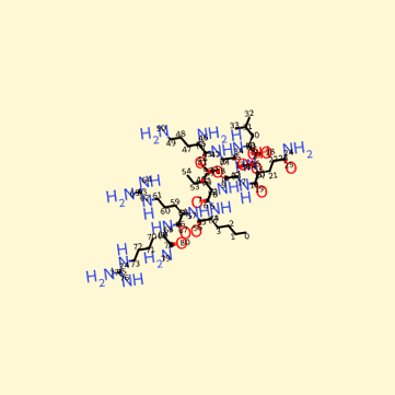 CCCC[C@H](NC(=O)[C@@H](NC(=O)[C@H](CC(=O)O)NC(=O)[C@H](CCC(N)=O)NC(=O)[C@H](CC(C)C)NC(=O)[C@H](CC(C)C)NC(=O)[C@@H](N)CCCN)[C@@H](C)CC)C(=O)N[C@H](CCCNC(=N)N)C(=O)N[C@@H](CCCCNC(=N)N)C(N)=O